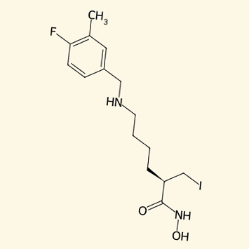 Cc1cc(CNCCCC[C@@H](CI)C(=O)NO)ccc1F